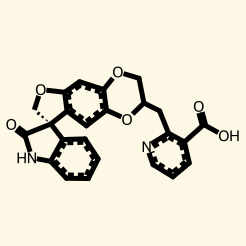 O=C(O)c1cccnc1CC1COc2cc3c(cc2O1)[C@]1(CO3)C(=O)Nc2ccccc21